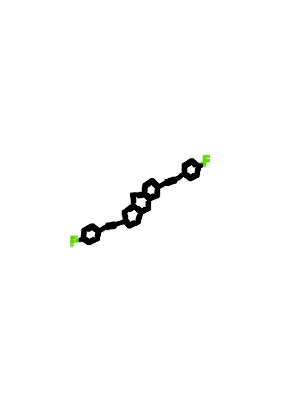 Fc1ccc(C#Cc2ccc3cc4cc(C#Cc5ccc(F)cc5)ccc4cc3c2)cc1